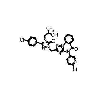 O=C(Nc1ccc(Cl)nc1)c1ccccc1-n1cnc(Cn2nc(-c3ccc(Cl)cc3)n(CC(O)C(F)(F)F)c2=O)n1